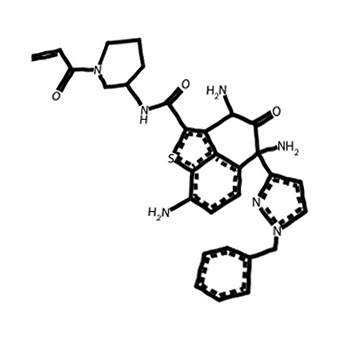 C=CC(=O)N1CCCC(NC(=O)c2sc3c(N)ccc4c3c2C(N)C(=O)C4(N)c2ccn(Cc3ccccc3)n2)C1